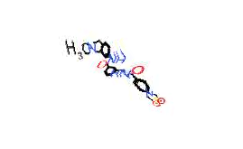 CN1CCc2ccc(NC(=O)c3cccc(CNC(=O)c4ccc(N5CCS(=O)(=O)CC5)cc4)c3)cc2C1